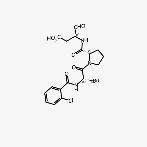 CC(C)(C)[C@H](NC(=O)c1ccccc1Cl)C(=O)N1CCC[C@H]1C(=O)N[C@H](C=O)CC(=O)O